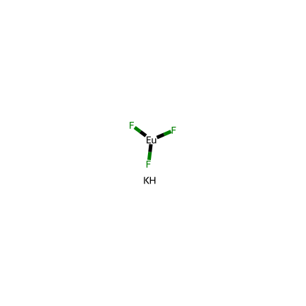 [F][Eu]([F])[F].[KH]